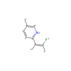 C/C(F)=C(\C)c1ccc(C)cn1